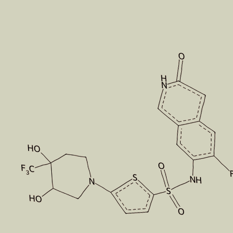 O=c1cc2cc(F)c(NS(=O)(=O)c3ccc(N4CCC(O)(C(F)(F)F)C(O)C4)s3)cc2c[nH]1